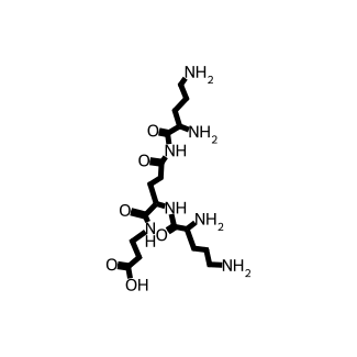 NCCCC(N)C(=O)NC(=O)CCC(NC(=O)C(N)CCCN)C(=O)NCCC(=O)O